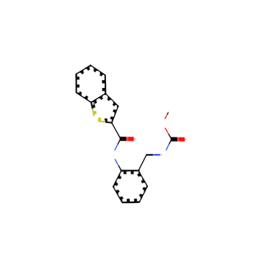 CC(C)(C)OC(=O)NCc1ccccc1NC(=O)c1cc2ccccc2s1